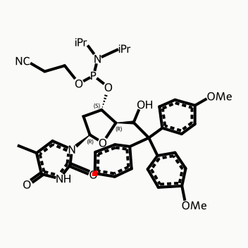 COc1ccc(C(c2ccccc2)(c2ccc(OC)cc2)C(O)[C@H]2O[C@@H](n3cc(C)c(=O)[nH]c3=O)C[C@@H]2OP(OCCC#N)N(C(C)C)C(C)C)cc1